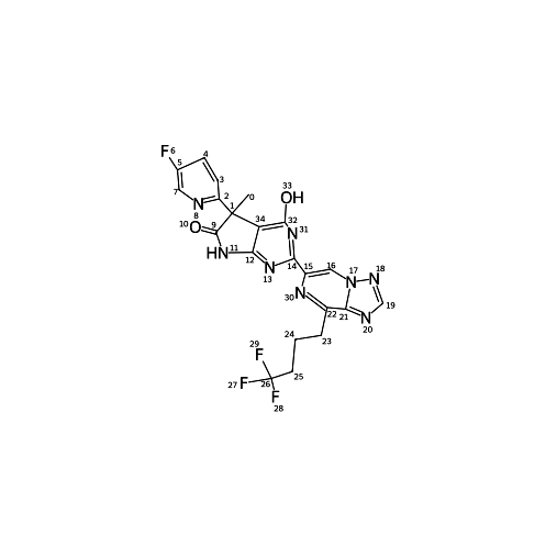 CC1(c2ccc(F)cn2)C(=O)Nc2nc(-c3cn4ncnc4c(CCCC(F)(F)F)n3)nc(O)c21